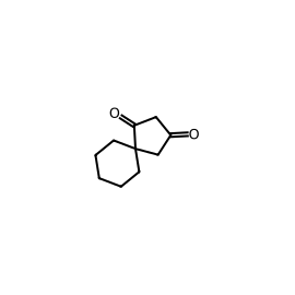 O=C1CC(=O)C2(CCCCC2)C1